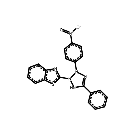 O=[N+]([O-])c1ccc(N2N=C(c3ccccc3)NN2c2nc3ccccc3s2)cc1